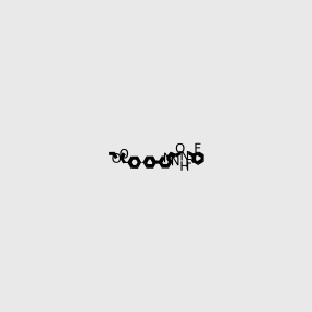 CCOC(=O)C[C@H]1CC[C@H](c2ccc(-c3ccc4nc(C(=O)NCc5c(F)cccc5F)cn4c3)cc2)CC1